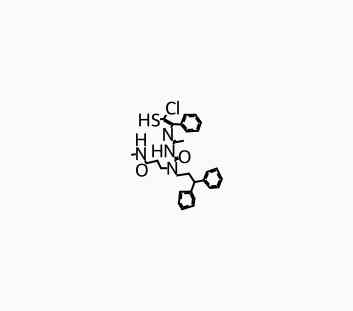 CNC(=O)CCN(CCC(c1ccccc1)c1ccccc1)C(=O)N/C(C)=N/C(=C(\S)Cl)c1ccccc1